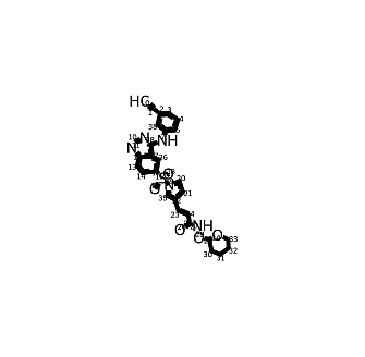 C#Cc1cccc(Nc2ncnc3ccc(S(=O)(=O)n4ccc(/C=C/C(=O)NOC5CCCCO5)c4)cc23)c1